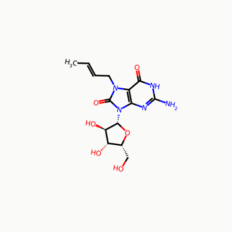 C/C=C/Cn1c(=O)n([C@@H]2O[C@H](CO)[C@H](O)[C@H]2O)c2nc(N)[nH]c(=O)c21